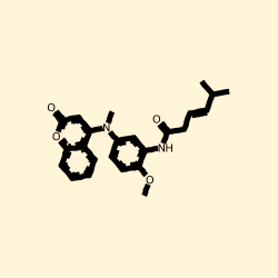 COc1ccc(N(C)c2cc(=O)oc3ccccc23)cc1NC(=O)CC=CC(C)C